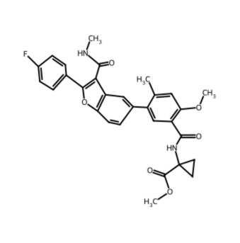 CNC(=O)c1c(-c2ccc(F)cc2)oc2ccc(-c3cc(C(=O)NC4(C(=O)OC)CC4)c(OC)cc3C)cc12